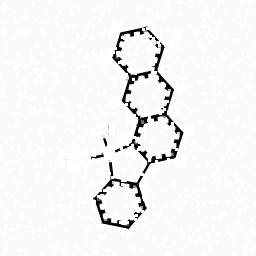 CS1(C)c2ccccc2-c2ccc3cc4ccccc4cc3c21